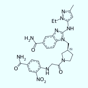 CCn1nc(C)cc1Nc1nc2cc(C(N)=O)ccc2n1C[C@H]1CCN(C(=O)CNc2ccc(C(N)=O)cc2[N+](=O)[O-])C1